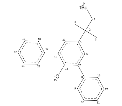 CC(C)(C)CC(C)(C)c1cc(-c2ccccc2)c([O])c(-c2ccccc2)c1